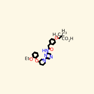 CCOc1ccccc1O[C@@H]1CCCN(c2cncc(NC(=O)Cc3ccc(OCC(C)(C)C(=O)O)cc3)n2)C1